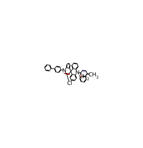 C=C(/C=C\C(=C)N1c2ccccc2C2(c3ccccc31)c1ccccc1N(c1ccc(-c3ccccc3)cc1)c1ccc(Cl)cc12)c1ccccc1